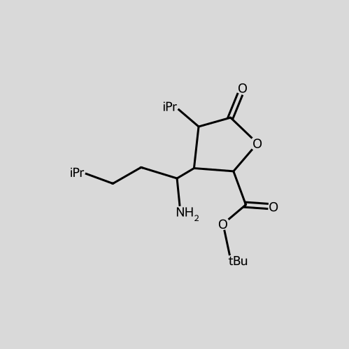 CC(C)CCC(N)C1C(C(=O)OC(C)(C)C)OC(=O)C1C(C)C